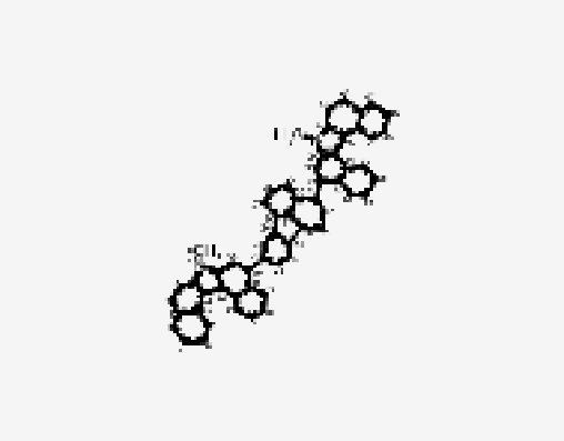 Cn1c2ccc3ccccc3c2c2c3ccccc3c(-c3ccc4c(c3)-c3cccc5c(-c6cc7c(c8ccccc68)c6c8ccccc8ccc6n7C)ccc-4c35)cc21